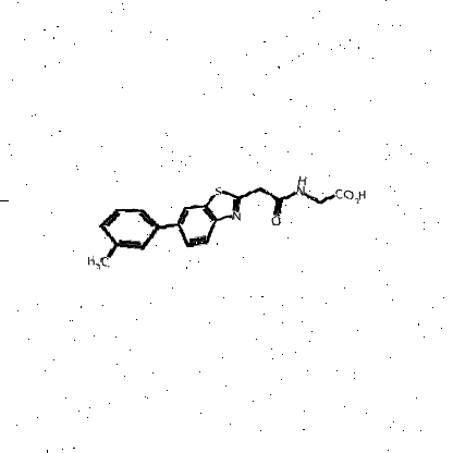 Cc1cccc(-c2ccc3nc(CC(=O)NCC(=O)O)sc3c2)c1